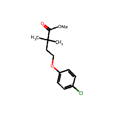 COC(=O)C(C)(C)CCOc1ccc(Cl)cc1